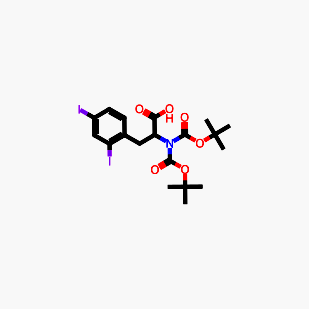 CC(C)(C)OC(=O)N(C(=O)OC(C)(C)C)C(Cc1ccc(I)cc1I)C(=O)O